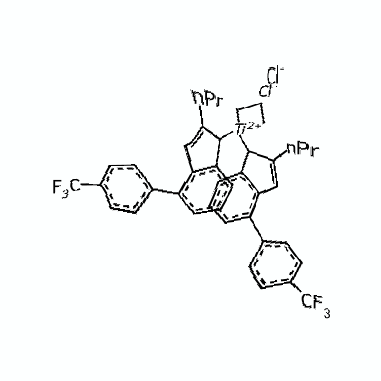 CCCC1=Cc2c(-c3ccc(C(F)(F)F)cc3)cccc2[CH]1[Ti+2]1([CH]2C(CCC)=Cc3c(-c4ccc(C(F)(F)F)cc4)cccc32)[CH2]C[CH2]1.[Cl-].[Cl-]